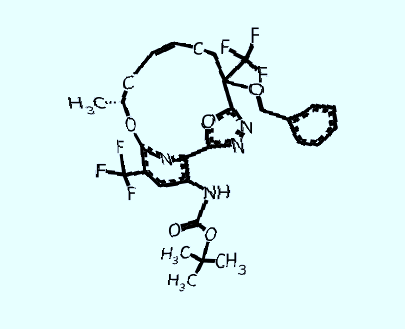 C[C@@H]1CC=CCCC(OCc2ccccc2)(C(F)(F)F)c2nnc(o2)-c2nc(c(C(F)(F)F)cc2NC(=O)OC(C)(C)C)O1